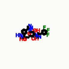 OCC[C@H]1O[C@@H](n2nncc2-c2ccc3[nH]ncc3c2)[C@H](O)[C@@H](n2cc(-c3cc(F)c(F)c(F)c3)nn2)[C@H]1O